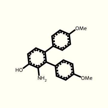 COc1ccc(-c2ccc(O)c(N)c2-c2ccc(OC)cc2)cc1